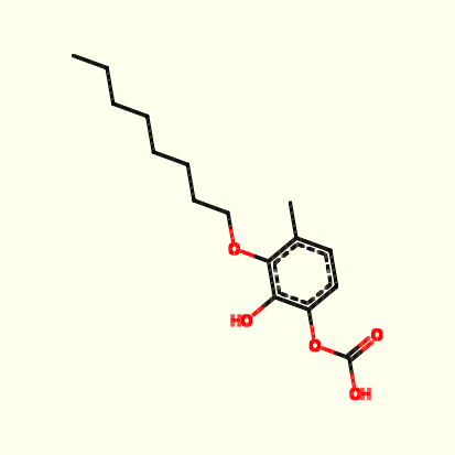 CCCCCCCCOc1c(C)ccc(OC(=O)O)c1O